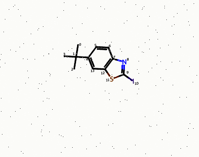 CC(C)(C)c1ccc2nc(I)sc2c1